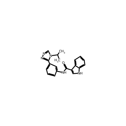 CC(C)n1cnnc1-c1cccc(NC(=O)c2c[nH]c3ccccc23)c1